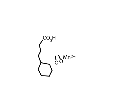 C[O-].C[O-].O=C(O)CCCC1CCCCC1.[Mn+2]